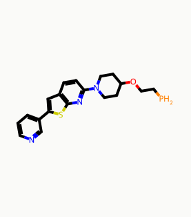 PCCOC1CCN(c2ccc3cc(-c4cccnc4)sc3n2)CC1